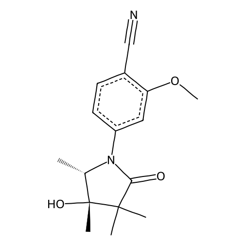 COc1cc(N2C(=O)C(C)(C)[C@](C)(O)[C@@H]2C)ccc1C#N